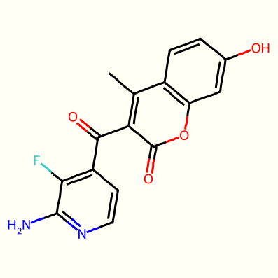 Cc1c(C(=O)c2ccnc(N)c2F)c(=O)oc2cc(O)ccc12